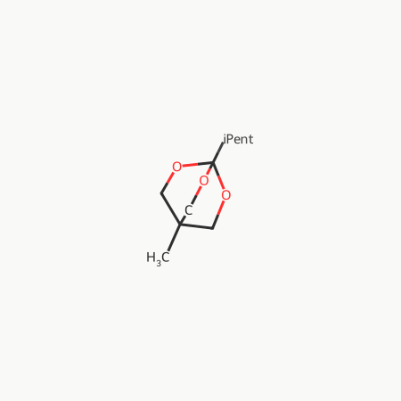 CCCC(C)C12OCC(C)(CO1)CO2